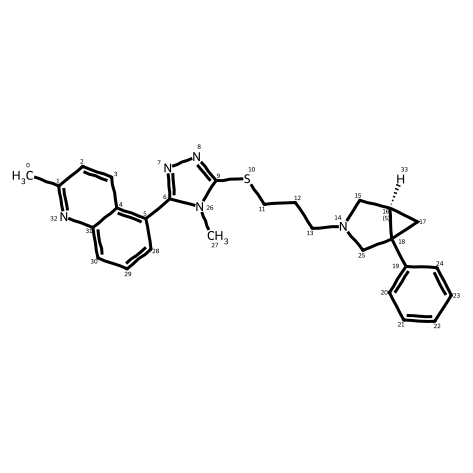 Cc1ccc2c(-c3nnc(SCCCN4C[C@H]5CC5(c5ccccc5)C4)n3C)cccc2n1